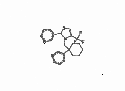 FC(F)(F)C1=CSC(c2cccnc2)N1CC1(c2cccnc2)CCCCC1